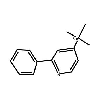 [CH3][Ge]([CH3])([CH3])[c]1ccnc(-c2ccccc2)c1